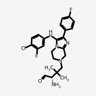 CC(C)(CN1CCn2c(nc(-c3ccc(F)cc3)c2Nc2ccc(Cl)c(F)c2)C1)[C@H](N)C=O